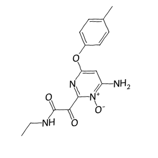 CCNC(=O)C(=O)c1nc(Oc2ccc(C)cc2)cc(N)[n+]1[O-]